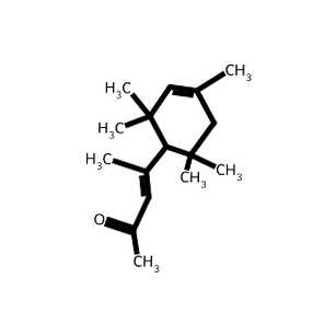 CC(=O)C=C(C)C1C(C)(C)C=C(C)CC1(C)C